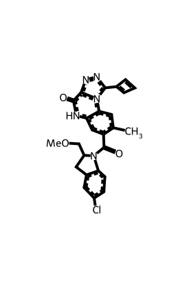 COCC1Cc2cc(Cl)ccc2N1C(=O)c1cc2[nH]c(=O)c3nnc(C4=CC=C4)n3c2cc1C